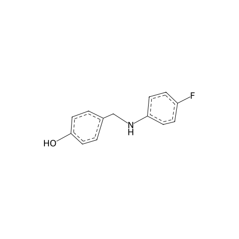 Oc1ccc(CNc2ccc(F)cc2)cc1